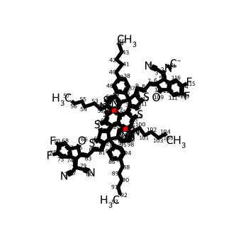 [C-]#[N+]/C(C#N)=C1/C(=C/c2cc3c(s2)-c2sc4c5nonc5c5c6c7c(sc6c6nsnc6c5c4c2C3(c2ccc(CCCCCC)cc2)c2ccc(CCCCCC)cc2)-c2sc(/C=C3\C(=O)c4cc(F)c(F)cc4C3=C(C#N)C#N)cc2C7(c2ccc(CCCCCC)cc2)c2ccc(CCCCCC)cc2)C(=O)c2cc(F)c(F)cc21